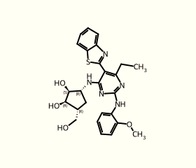 CCc1nc(Nc2ccccc2OC)nc(N[C@@H]2C[C@H](CO)[C@@H](O)[C@H]2O)c1-c1nc2ccccc2s1